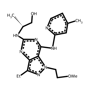 CCc1nn(CCOC)c2c(Nc3cc(C)ccn3)nc(N[C@H](C)CO)nc12